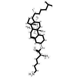 CC(C)CCC[C@@H](C)[C@H]1CC[C@H]2[C@@H]3CC=C4C[C@@H](OC(=O)[C@@H](N)CCCCN)CC[C@]4(C)[C@H]3CC[C@]12C